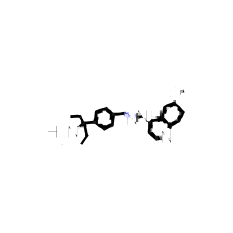 CCC(N)(CC)c1ccc(/C=N/Nc2ccnc3ccc(OC)cc23)cc1